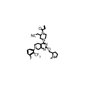 C=CC(=O)N1CCN(c2nc(OCC3CCCN3C)nc3c2CCN(c2cccc(F)c2C(F)(F)F)C3)CC1CC#N